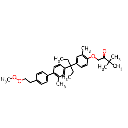 CCC(CC)(c1ccc(OCC(=O)C(C)(C)C)c(C)c1)c1ccc(-c2ccc(CCOOC)cc2)c(C)c1